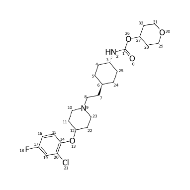 O=C(N[C@H]1CC[C@H](CCN2CCC(Oc3ccc(F)cc3Cl)CC2)CC1)OC1CCOCC1